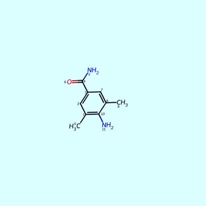 Cc1cc(C(N)=O)cc(C)c1N